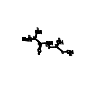 CNC(O)C(=O)NCC(O)CO